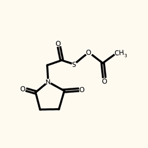 CC(=O)OSC(=O)CN1C(=O)CCC1=O